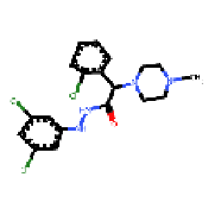 CN1CCN(C(C(=O)NNc2cc(Cl)cc(Cl)c2)c2ccccc2Cl)CC1